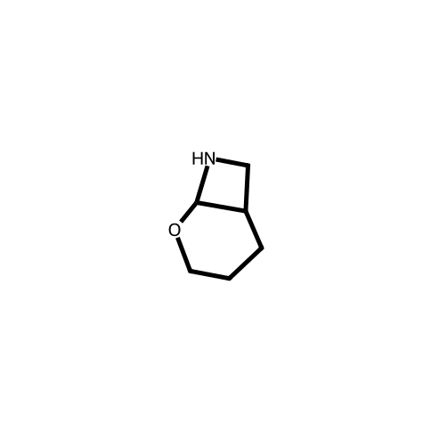 C1COC2NCC2C1